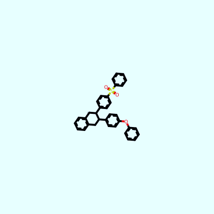 O=S(=O)(c1ccccc1)c1ccc(C2[C]c3ccccc3CC2c2ccc(Oc3ccccc3)cc2)cc1